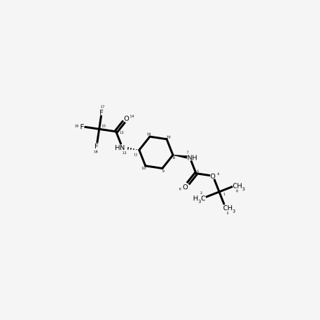 CC(C)(C)OC(=O)N[C@H]1CC[C@H](NC(=O)C(F)(F)F)CC1